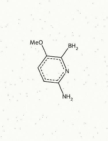 Bc1nc(N)ccc1OC